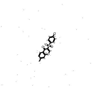 Cc1ccc2c(=O)c(S(=O)(=O)c3ccc(Cl)cc3)coc2c1